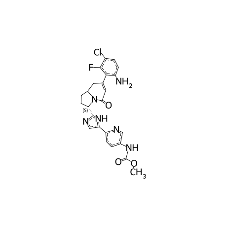 COC(=O)Nc1ccc(-c2cnc([C@@H]3CCC4CC(c5c(N)ccc(Cl)c5F)=CC(=O)N43)[nH]2)nc1